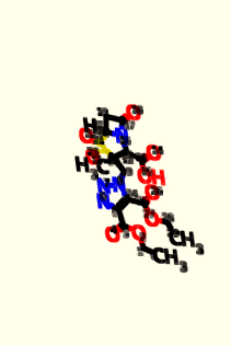 CCOC(=O)c1nnn(C[C@@]2(C)[C@H](C(=O)O)N3C(=O)C[C@@H]3S2(=O)=O)c1C(=O)OCC